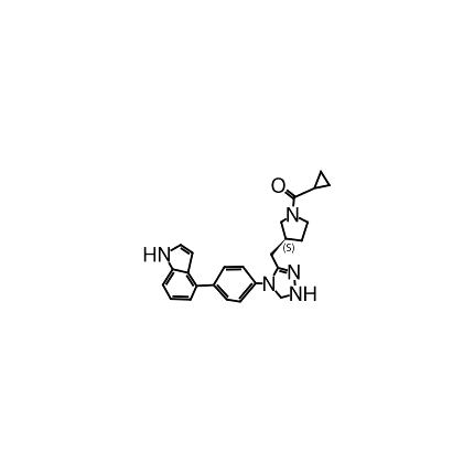 O=C(C1CC1)N1CC[C@@H](CC2=NNCN2c2ccc(-c3cccc4[nH]ccc34)cc2)C1